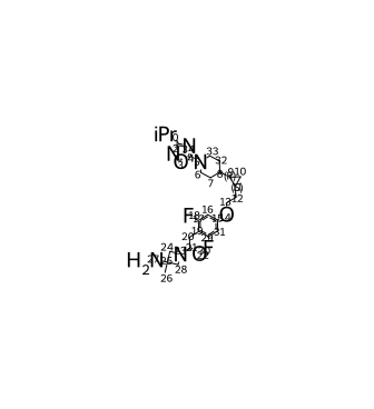 CC(C)c1noc(N2CCC([C@H]3C[C@H]3CCOc3cc(F)c(CC(=O)N4CC(C)(N)C4)c(F)c3)CC2)n1